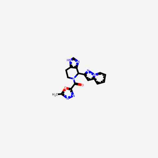 Cc1nnc(C(=O)N2CCc3[nH]cnc3C2c2cc3ccccn3n2)o1